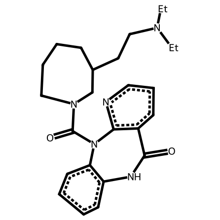 CCN(CC)CCC1CCCCN(C(=O)N2c3ccccc3NC(=O)c3cccnc32)C1